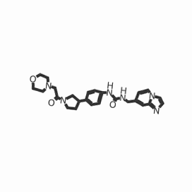 O=C(NCc1ccn2ccnc2c1)Nc1ccc(C2CCN(C(=O)CN3CCOCC3)C2)cc1